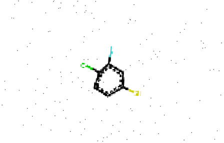 Fc1cc(S)ccc1Cl